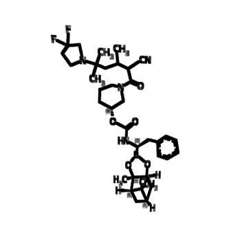 CC(CC(C)(C)N1CCC(F)(F)C1)C(C#N)C(=O)N1CCC[C@@H](OC(=O)N[C@@H](Cc2ccccc2)B2O[C@@H]3C[C@@H]4C[C@@H](C4(C)C)[C@]3(C)O2)C1